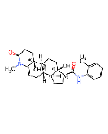 Cc1ccccc1NC(=O)[C@H]1CC[C@H]2[C@@H]3CC=C4N(C)C(=O)CC[C@]4(C)[C@H]3CC[C@]12C